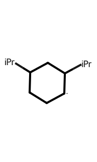 CC(C)C1[CH]CCC(C(C)C)C1